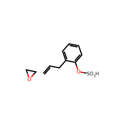 C1CO1.C=CCc1ccccc1OS(=O)(=O)O